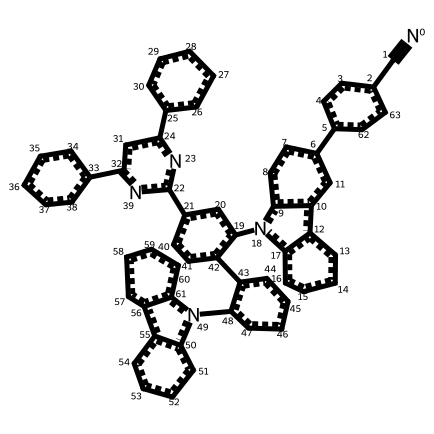 N#Cc1ccc(-c2ccc3c(c2)c2ccccc2n3-c2cc(-c3nc(-c4ccccc4)cc(-c4ccccc4)n3)ccc2-c2ccccc2-n2c3ccccc3c3ccccc32)cc1